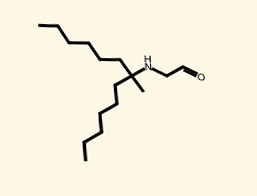 CCCCCCC(C)(CCCCCC)NCC=O